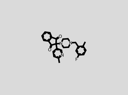 Cc1ccc(C2(N3CCN(Cc4cc(F)ccc4C)CC3)C(=O)c3ccccc3C2=O)cn1